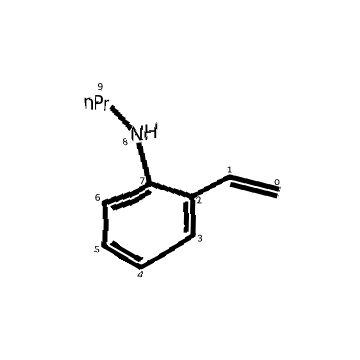 C=Cc1ccccc1NCCC